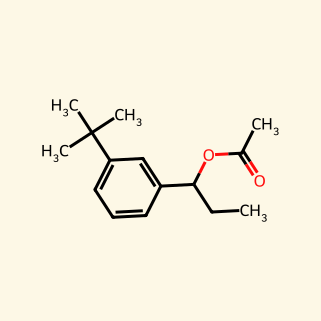 CCC(OC(C)=O)c1cccc(C(C)(C)C)c1